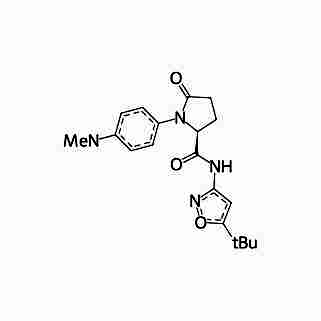 CNc1ccc(N2C(=O)CC[C@H]2C(=O)Nc2cc(C(C)(C)C)on2)cc1